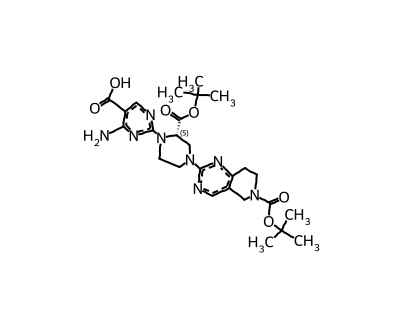 CC(C)(C)OC(=O)[C@@H]1CN(c2ncc3c(n2)CCN(C(=O)OC(C)(C)C)C3)CCN1c1ncc(C(=O)O)c(N)n1